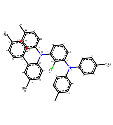 Cc1ccc(N(c2ccc(C(C)(C)C)cc2)c2cccc(N(c3ccc(C)cc3)c3ccc(C(C)(C)C)cc3-c3ccc(C(C)(C)C)cc3)c2Cl)cc1